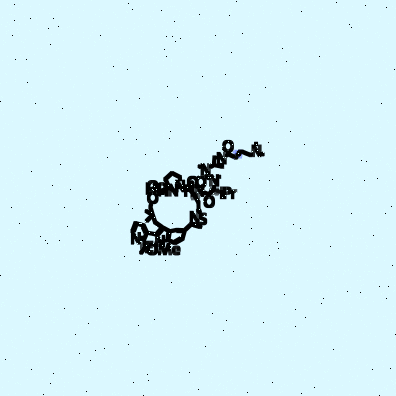 CCn1c(-c2cccnc2[C@H](C)OC)c2c3cc(ccc31)-c1csc(n1)C[C@H](NC(=O)[C@H](C(C)C)N(C)C(=O)N(C)C1CN(C(=O)/C=C/CN(C)C)C1)C(=O)N1CCC[C@@](O)(N1)C(=O)OCC(C)(C)C2